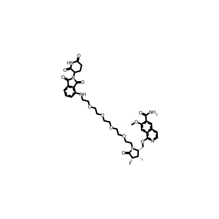 COc1cc2c(OC[C@@H]3[C@H](C)[C@H](F)C(=O)N3CCOCCOCCOCCOCCNc3cccc4c3C(=O)N(C3CCC(=O)NC3=O)C4=O)nccc2cc1C(N)=O